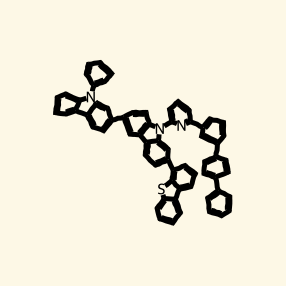 c1ccc(-c2ccc(-c3cccc(-c4cccc(-n5c6ccc(-c7ccc8c9ccccc9n(-c9ccccc9)c8c7)cc6c6ccc(-c7cccc8c7sc7ccccc78)cc65)n4)c3)cc2)cc1